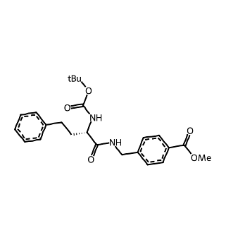 COC(=O)c1ccc(CNC(=O)[C@H](CCc2ccccc2)NC(=O)OC(C)(C)C)cc1